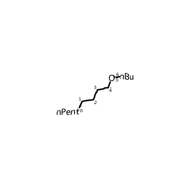 CCCCCCCC[CH]OCCCC